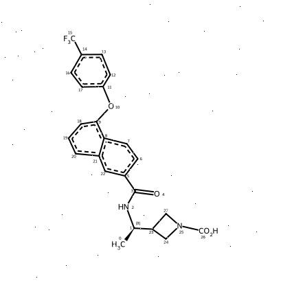 C[C@@H](NC(=O)c1ccc2c(Oc3ccc(C(F)(F)F)cc3)cccc2c1)C1CN(C(=O)O)C1